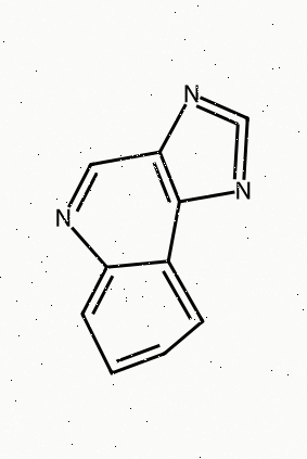 C1=Nc2cnc3ccccc3c2N=1